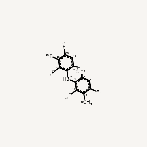 Cc1c(F)cc(F)c(Bc2c(F)cc(F)c(F)c2F)c1F